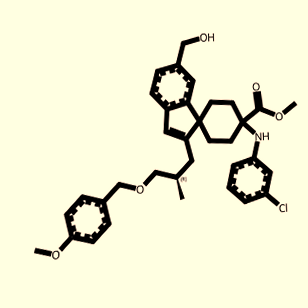 COC(=O)C1(Nc2cccc(Cl)c2)CCC2(CC1)C(C[C@@H](C)COCc1ccc(OC)cc1)=Cc1ccc(CO)cc12